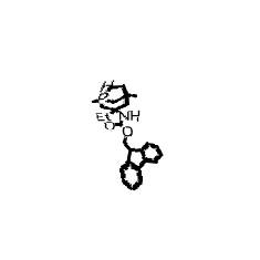 CCC1(NC(=O)OCC2c3ccccc3-c3ccccc32)CC2(C)CC[PH](C)(C2)C1